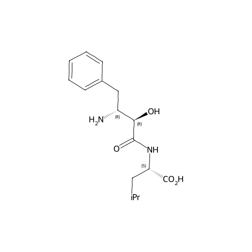 CC(C)C[C@H](NC(=O)[C@H](O)[C@H](N)Cc1ccccc1)C(=O)O